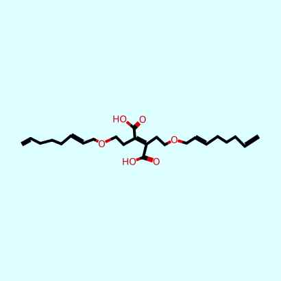 C=CCCCC=CCOCCC(C(=O)O)=C(CCOCC=CCCCC=C)C(=O)O